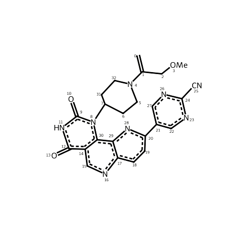 C=C(COC)N1CCC(n2c(=O)[nH]c(=O)c3cnc4ccc(-c5cnc(C#N)nc5)nc4c32)CC1